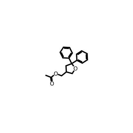 CC(=O)OCC1COC(c2ccccc2)(c2ccccc2)C1